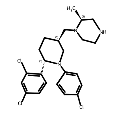 C[C@H]1CNCCN1C[C@@H]1CC[C@@H](c2ccc(Cl)cc2Cl)N(c2ccc(Cl)cc2)C1